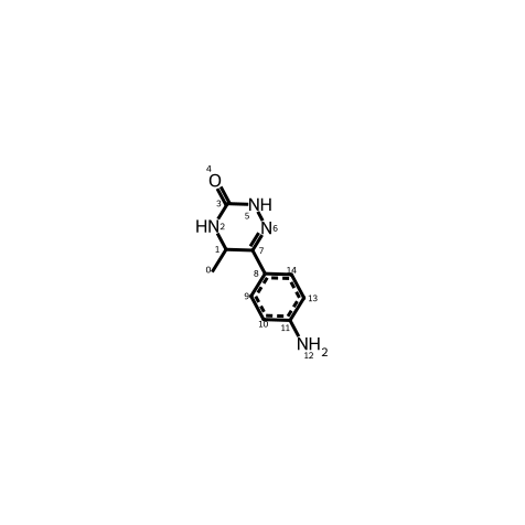 CC1NC(=O)NN=C1c1ccc(N)cc1